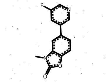 Cn1c(=O)oc2ccc(-c3cncc(F)c3)cc21